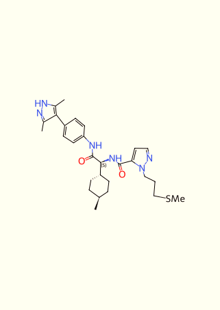 CSCCCn1nccc1C(=O)N[C@H](C(=O)Nc1ccc(-c2c(C)n[nH]c2C)cc1)[C@H]1CC[C@H](C)CC1